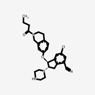 CC[CH]C(=O)N1CCc2ccc(O[C@H]3c4cc(Cl)cc(C#N)c4C[C@@H]3N3CCNCC3)cc2C1